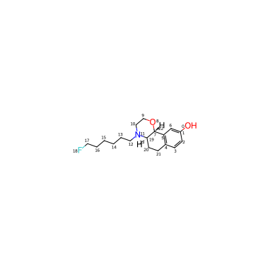 Oc1ccc2c(c1)[C@H]1OCCN(CCCCCCF)[C@@H]1CC2